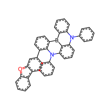 c1ccc(N2c3ccccc3B3c4cccc(-c5ccc6c(c5)oc5ccccc56)c4N(c4ccccc4)c4cccc2c43)cc1